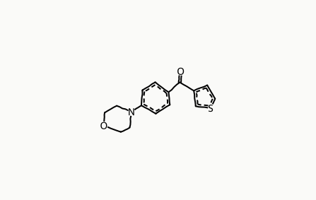 O=C(c1ccc(N2CCOCC2)cc1)c1ccsc1